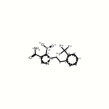 NC(=O)c1cnn(CCc2ccccc2C(F)(F)F)c1[N+](=O)[O-]